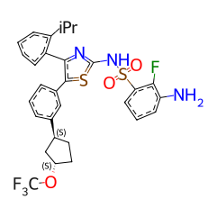 CC(C)c1ccccc1-c1nc(NS(=O)(=O)c2cccc(N)c2F)sc1-c1cccc([C@H]2CC[C@H](OC(F)(F)F)C2)c1